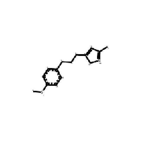 CSc1ccc(CCCC2=CC(C)=NC2)cc1